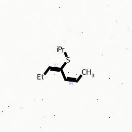 C/C=C\C(=C/CC)SC(C)C